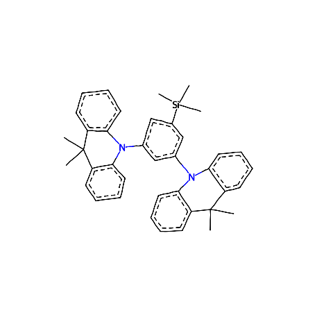 CC1(C)c2ccccc2N(c2cc(N3c4ccccc4C(C)(C)c4ccccc43)cc([Si](C)(C)C)c2)c2ccccc21